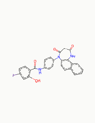 O=C1CC(=O)N(c2ccc(NC(=O)c3ccc(I)cc3O)cc2)c2ccc3ccccc3c2N1